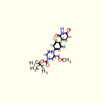 COC[C@H]1CN(C(=O)OC(C)(C)C)CCN1c1cc(F)c([C@H]2CCC(=O)NC2=O)c(F)c1